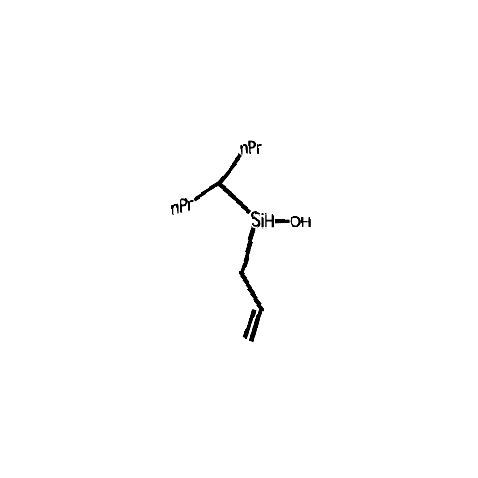 C=CC[SiH](O)C(CCC)CCC